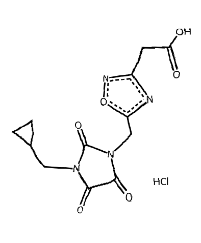 Cl.O=C(O)Cc1noc(CN2C(=O)C(=O)N(CC3CC3)C2=O)n1